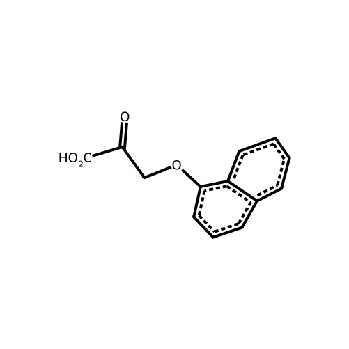 O=C(O)C(=O)COc1cccc2ccccc12